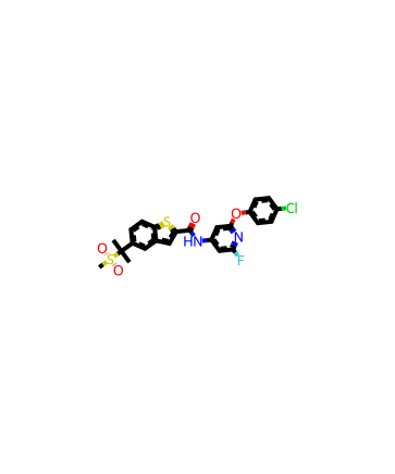 CC(C)(c1ccc2sc(C(=O)Nc3cc(F)nc(Oc4ccc(Cl)cc4)c3)cc2c1)S(C)(=O)=O